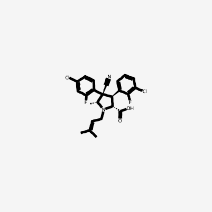 CC(C)=CCN1[C@@H](C(=O)O)[C@H](c2cccc(Cl)c2F)[C@@](C#N)(c2ccc(Cl)cc2F)[C@H]1C